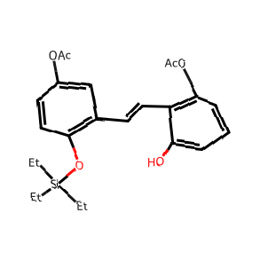 CC[Si](CC)(CC)Oc1ccc(OC(C)=O)cc1C=Cc1c(O)cccc1OC(C)=O